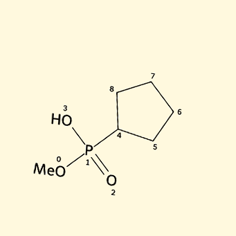 COP(=O)(O)C1CCCC1